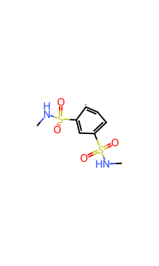 CNS(=O)(=O)c1[c]ccc(S(=O)(=O)NC)c1